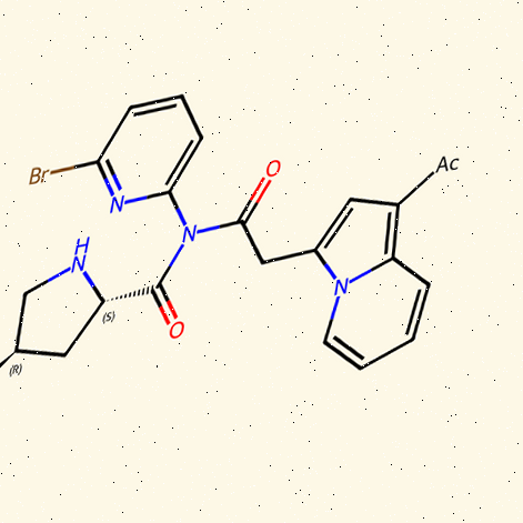 CC(=O)c1cc(CC(=O)N(C(=O)[C@@H]2C[C@@H](F)CN2)c2cccc(Br)n2)n2ccccc12